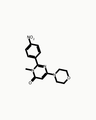 Cn1c(-c2ccc([N+](=O)[O-])cc2)nc(N2CCOCC2)cc1=O